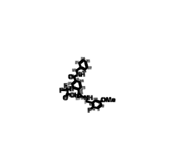 COc1ccc(F)c(CNC2CC2c2ccc(C(=O)NCc3ccccc3)cc2)c1.O=C(O)C(F)(F)F